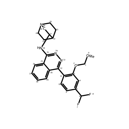 COCOc1cc(C(F)F)ccc1-c1nnc(NC2CN3CCC2CC3)c2ccccc12